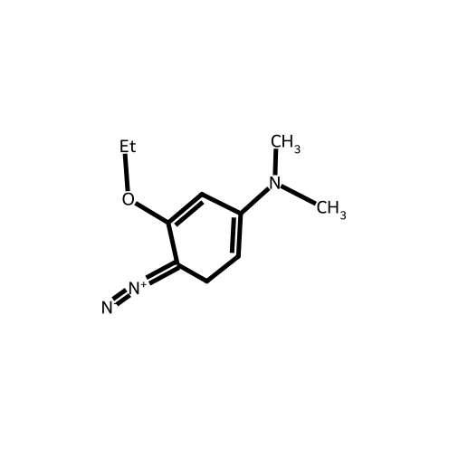 CCOC1=CC(N(C)C)=CCC1=[N+]=[N-]